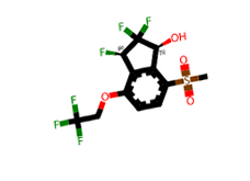 CS(=O)(=O)c1ccc(OCC(F)(F)F)c2c1[C@H](O)C(F)(F)[C@@H]2F